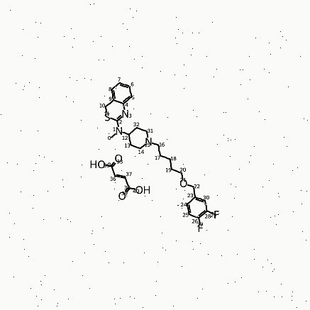 CN(C1=Nc2ccccc2CS1)C1CCN(CCCCCOCc2ccc(F)c(F)c2)CC1.O=C(O)C=CC(=O)O